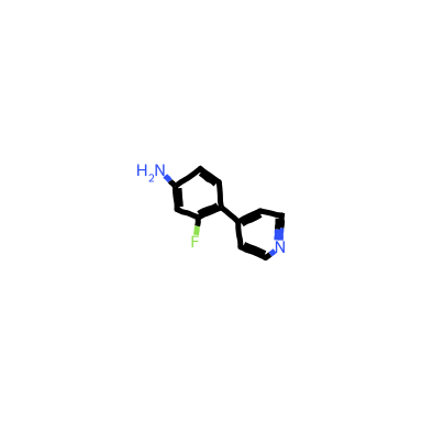 Nc1ccc(-c2ccncc2)c(F)c1